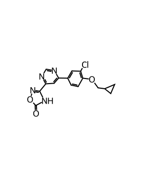 O=c1[nH]c(-c2cc(-c3ccc(OCC4CC4)c(Cl)c3)ncn2)no1